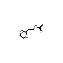 CC(=O)OCCC1OCCO1